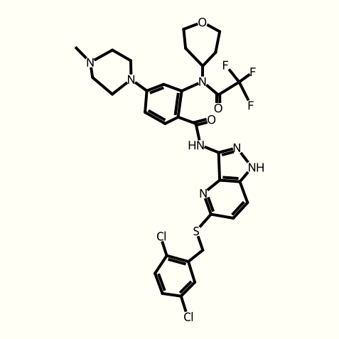 CN1CCN(c2ccc(C(=O)Nc3n[nH]c4ccc(SCc5cc(Cl)ccc5Cl)nc34)c(N(C(=O)C(F)(F)F)C3CCOCC3)c2)CC1